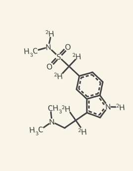 [2H]N(C)S(=O)(=O)C([2H])([2H])c1ccc2c(c1)c(C([2H])([2H])CN(C)C)cn2[2H]